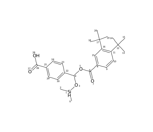 C[SiH](C)OC(OC(=O)c1ccc(C(C)(C)C)c(C(C)(C)C)c1)c1ccc(C(=O)O)cc1